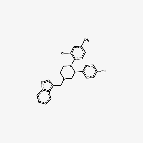 Cc1ccc(N2CCN(Cc3csc4ccccc34)CC2c2ccc(Cl)cc2)c(Cl)c1